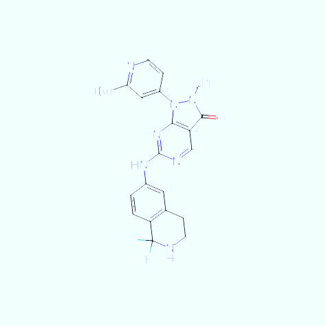 CC(C)n1c(=O)c2cnc(Nc3ccc4c(c3)CCNC4(F)F)nc2n1-c1ccnc(C(C)(C)C)c1